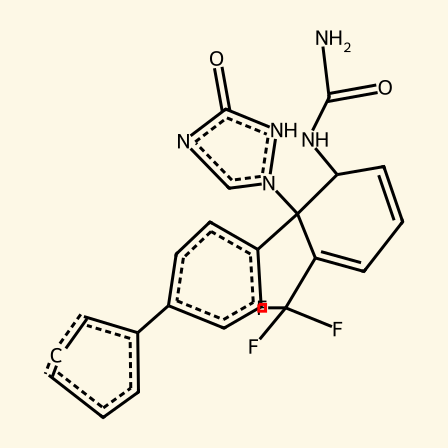 NC(=O)NC1C=CC=C(C(F)(F)F)C1(c1ccc(-c2ccccc2)cc1)n1cnc(=O)[nH]1